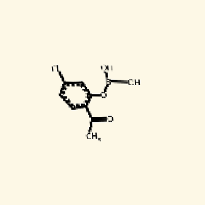 CC(=O)c1ccc(Cl)cc1OB(O)O